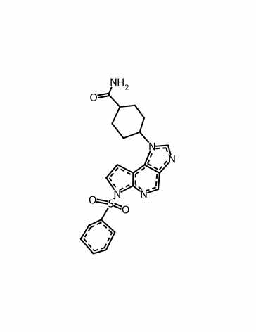 NC(=O)C1CCC(n2cnc3cnc4c(ccn4S(=O)(=O)c4ccccc4)c32)CC1